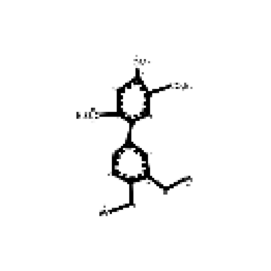 CCOC(=O)c1cc(-c2ccc(CC(C)C)c(CC(C)C)c2)c(C(=O)OCC)cc1OC